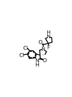 O=C(N1CC[C@]2(C1)C(=O)Nc1cc(Cl)c(Cl)cc12)C1(F)CCNC1